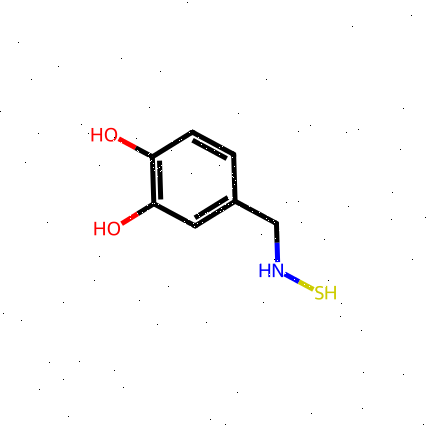 Oc1ccc(CNS)cc1O